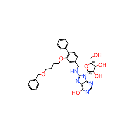 OC[C@H]1O[C@@H](n2c(NCc3ccc(-c4ccccc4)c(OCCCCOCc4ccccc4)c3)nc3c(O)ncnc32)C(O)C1O